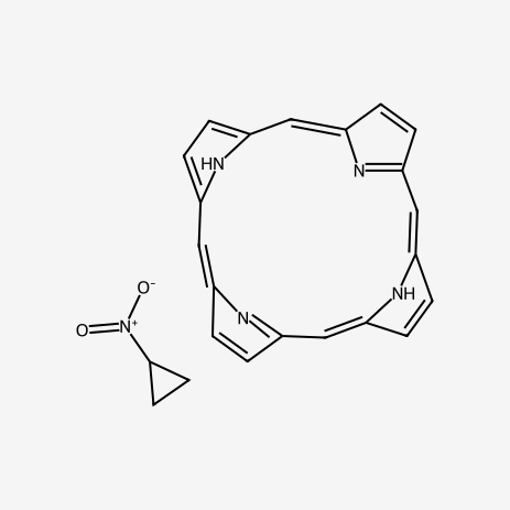 C1=Cc2cc3ccc(cc4nc(cc5ccc(cc1n2)[nH]5)C=C4)[nH]3.O=[N+]([O-])C1CC1